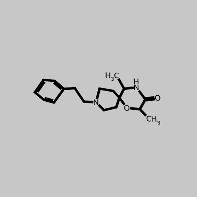 CC1OC2(CCN(CCc3ccccc3)CC2)C(C)NC1=O